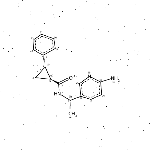 C[C@H](NC(=O)[C@H]1C[C@@H]1c1ccccc1)c1ccc(N)nc1